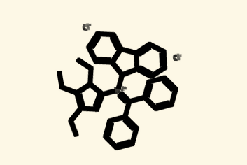 CCC1=C(CC)C(CC)[C]([Zr+2](=[C](c2ccccc2)c2ccccc2)[CH]2c3ccccc3-c3ccccc32)=C1.[Cl-].[Cl-]